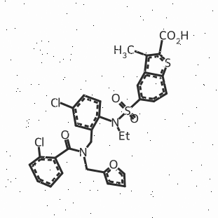 CCN(c1ccc(Cl)cc1CN(Cc1ccco1)C(=O)c1ccccc1Cl)S(=O)(=O)c1ccc2sc(C(=O)O)c(C)c2c1